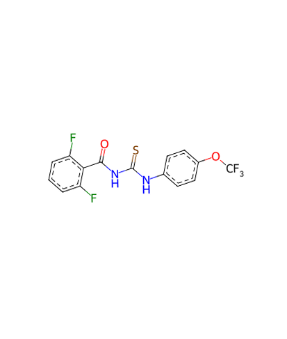 O=C(NC(=S)Nc1ccc(OC(F)(F)F)cc1)c1c(F)cccc1F